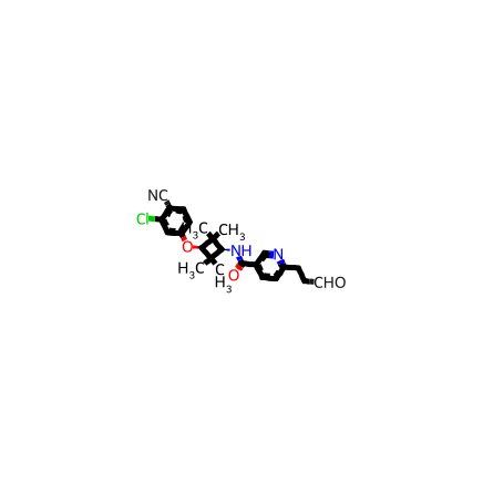 CC1(C)[C@H](NC(=O)c2ccc(CCC=O)nc2)C(C)(C)[C@H]1Oc1ccc(C#N)c(Cl)c1